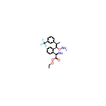 CCOOC(=O)C(=N)c1ccccc1/C(ON)=C(/C)c1cccc(C(F)(F)F)c1